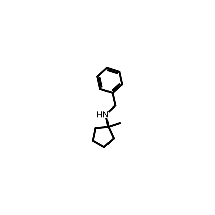 CC1(NCc2ccccc2)CCCC1